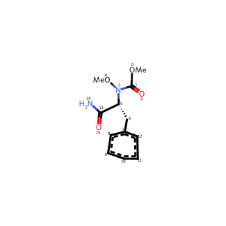 COC(=O)N(OC)[C@H](Cc1ccccc1)C(N)=O